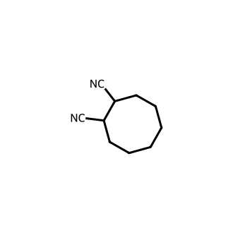 N#CC1CCCCCCC1C#N